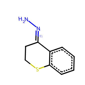 N/N=C1\CCSc2ccccc21